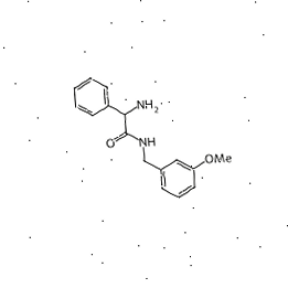 COc1cccc(CNC(=O)C(N)c2ccccc2)c1